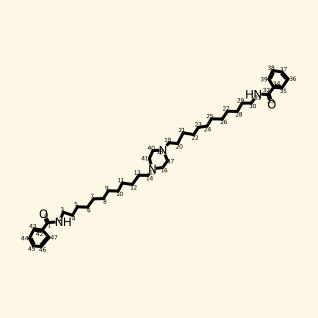 O=C(NCCCCCCCCCCCCN1CCN(CCCCCCCCCCCCNC(=O)c2ccccc2)CC1)c1ccccc1